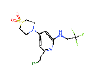 O=S1(=O)CCN(c2cc(CCl)nc(NCC(F)(F)F)c2)CC1